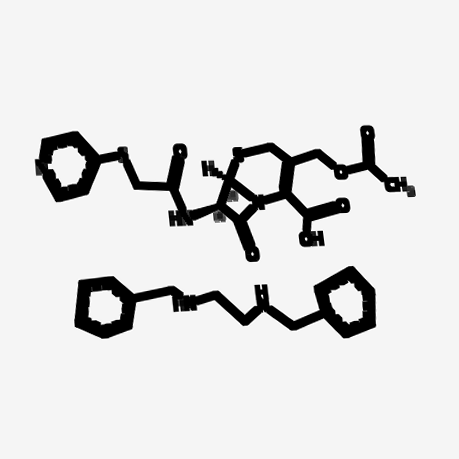 CC(=O)OCC1=C(C(=O)O)N2C(=O)[C@@H](NC(=O)CSc3ccncc3)[C@H]2SC1.c1ccc(CNCCNCc2ccccc2)cc1